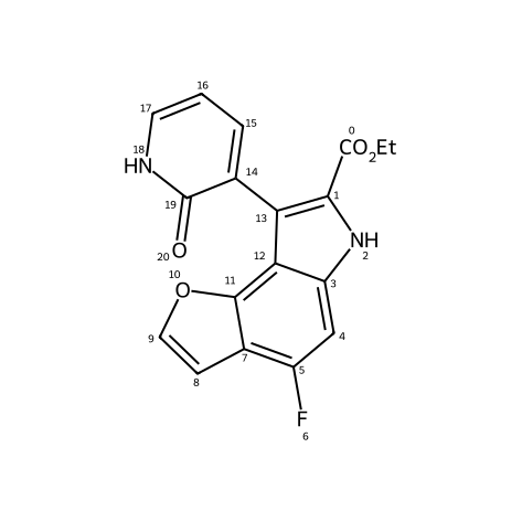 CCOC(=O)c1[nH]c2cc(F)c3ccoc3c2c1-c1ccc[nH]c1=O